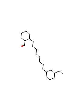 CCC1CCCC(CCCCCCCCC2CCCCC2C=O)C1